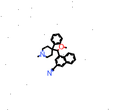 COC(c1cc(C#N)cc2ccccc12)C1(c2ccccc2)CCN(C)CC1